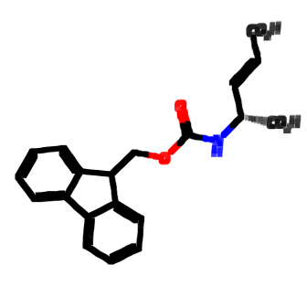 O=C(O)/C=C/[C@@H](NC(=O)OCC1c2ccccc2-c2ccccc21)C(=O)O